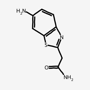 NC(=O)Cc1nc2ccc(N)cc2s1